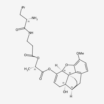 COc1ccc2c3c1O[C@@H]1C(OC(=O)[C@H](C)OC(=O)CCNC(=O)[C@@H](N)CC(C)C)=CC[C@]4(O)[C@@H](CCC[C@@]314)C2